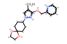 CCOC(=O)c1cn(C2CCC3(CC2)OCCO3)nc1OCc1ccccn1